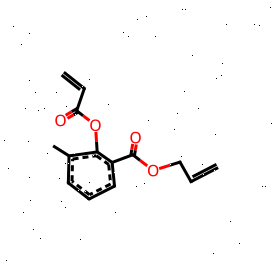 C=CCOC(=O)c1cccc(C)c1OC(=O)C=C